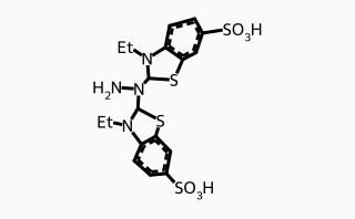 CCN1c2ccc(S(=O)(=O)O)cc2SC1N(N)C1Sc2cc(S(=O)(=O)O)ccc2N1CC